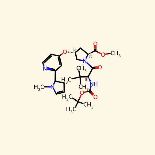 COC(=O)[C@@H]1C[C@@H](Oc2ccnc(C3CC=CN3C)c2)CN1C(=O)[C@@H](NC(=O)OC(C)(C)C)C(C)(C)C